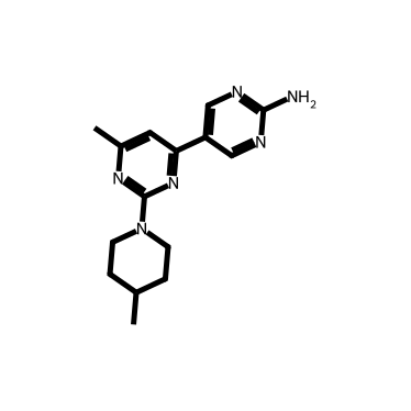 Cc1cc(-c2cnc(N)nc2)nc(N2CCC(C)CC2)n1